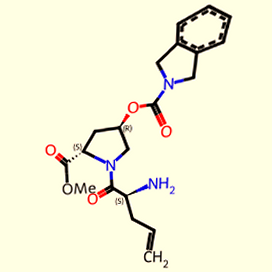 C=CC[C@H](N)C(=O)N1C[C@H](OC(=O)N2Cc3ccccc3C2)C[C@H]1C(=O)OC